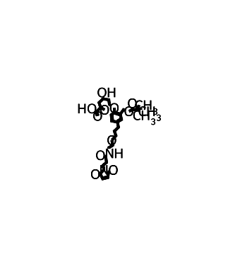 CC(C)(C)C(=O)OCc1cc(CCCOCCNC(=O)CCN2C(=O)C=CC2=O)ccc1OC1CC(O)CC(C(=O)O)O1